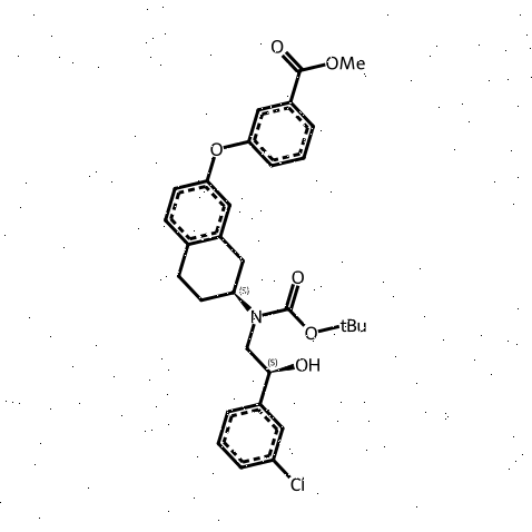 COC(=O)c1cccc(Oc2ccc3c(c2)C[C@@H](N(C[C@@H](O)c2cccc(Cl)c2)C(=O)OC(C)(C)C)CC3)c1